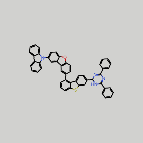 c1ccc(C2=NC(c3ccc4c(c3)sc3cccc(-c5ccc6oc7ccc(-n8c9ccccc9c9ccccc98)cc7c6c5)c34)NC(c3ccccc3)=N2)cc1